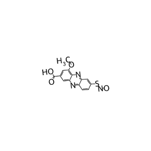 COc1cc(C(=O)O)cc2nc3ccc(SN=O)cc3nc12